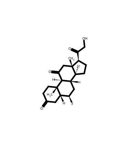 C[C@]12CCC(=O)C[C@H]1[C@H](F)C[C@H]1[C@@H]3CC[C@H](C(=O)CO)[C@@]3(C)CC(=O)[C@@H]12